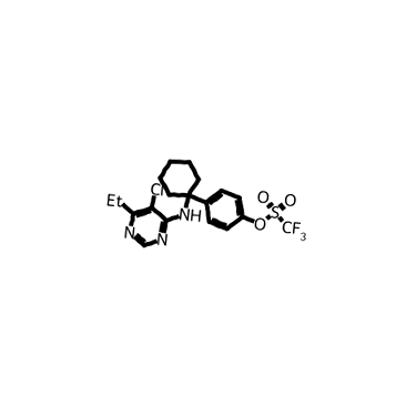 CCc1ncnc(NC2(c3ccc(OS(=O)(=O)C(F)(F)F)cc3)CCCCC2)c1Cl